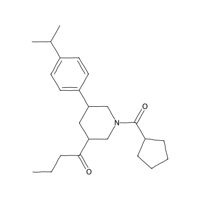 CCCC(=O)C1CC(c2ccc(C(C)C)cc2)CN(C(=O)C2CCCC2)C1